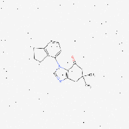 CC1(C)CC(=O)c2c(ncn2-c2cccc3c2CCC3)C1